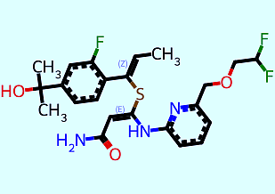 C/C=C(\S/C(=C/C(N)=O)Nc1cccc(COCC(F)F)n1)c1ccc(C(C)(C)O)cc1F